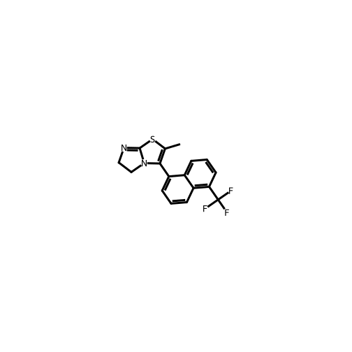 CC1=C(c2cccc3c(C(F)(F)F)cccc23)N2CCN=C2S1